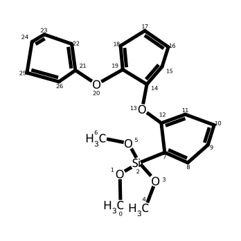 CO[Si](OC)(OC)c1ccccc1Oc1ccccc1Oc1ccccc1